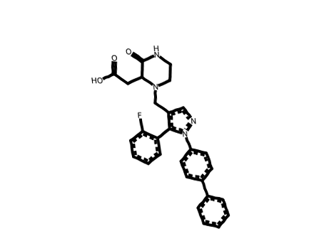 O=C(O)CC1C(=O)NCCN1Cc1cnn(-c2ccc(-c3ccccc3)cc2)c1-c1ccccc1F